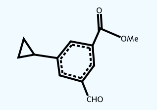 COC(=O)c1cc(C=O)cc(C2CC2)c1